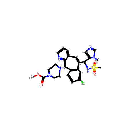 CC(C)OC(=O)N1CCN([C@H]2c3ccc(Cl)cc3C(C(NS(C)(=O)=O)c3cncn3C)=Cc3cccnc32)CC1